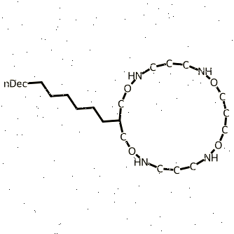 CCCCCCCCCCCCCCCCC1CONCCCNOCCCONCCCNOC1